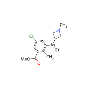 CC[As](c1cc(Cl)cc(C(=O)OC)c1C)C1CN(C)C1